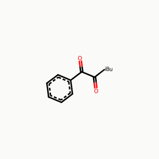 CCC(C)C(=O)C(=O)c1ccccc1